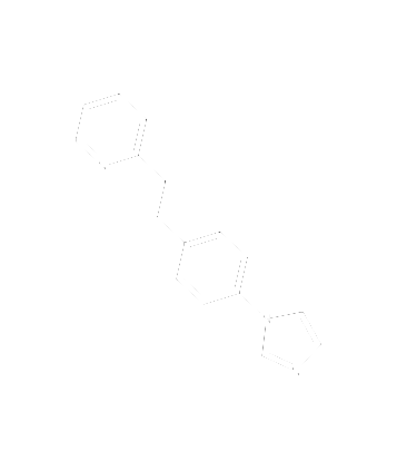 c1ccc(CCc2ccc(-n3ccnc3)cc2)nc1